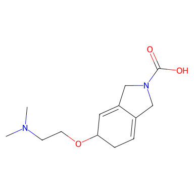 CN(C)CCOC1C=C2CN(C(=O)O)CC2=CC1